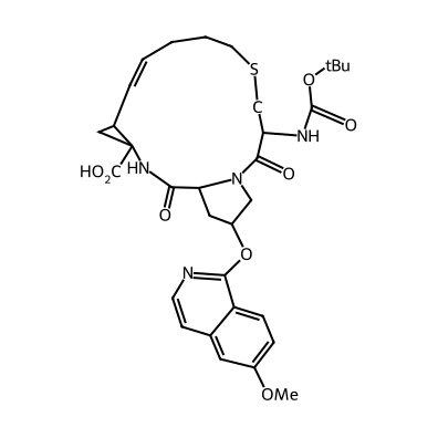 COc1ccc2c(OC3CC4C(=O)NC5(C(=O)O)CC5C=CCCCSCC(NC(=O)OC(C)(C)C)C(=O)N4C3)nccc2c1